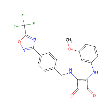 COc1cccc(Nc2c(NCc3ccc(-c4noc(C(F)(F)F)n4)cc3)c(=O)c2=O)c1